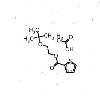 CC(=O)O.CC(C)(C)OCCOC(=O)c1cccs1